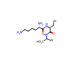 CC(C)C[C@H](NC(=O)[C@@H](N)CCCCN)C(=O)N[C@H](C(=O)O)C(C)C